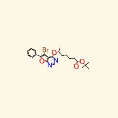 CC(CCCCC(=O)OC(C)(C)C)Oc1ncnc2oc(-c3ccccc3)c(Br)c12